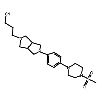 CS(=O)(=O)N1CCN(c2ccc(N3CC4CN(CCCC#N)CC4C3)cc2)CC1